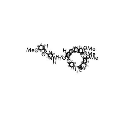 COc1cccc(NC(=O)c2cnc(NCCCOc3ccc4cc3Oc3ccc(cc3)C[C@H]3c5cc(c(OC)cc5CCN3C)Oc3c(OC)c(OC)cc5c3[C@@H](C4)N(C)CC5)cn2)c1